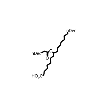 CCCCCCCCCCCCCCCCCC(CCCCCCCC(=O)O)OC(=O)CCCCCCCCCCC